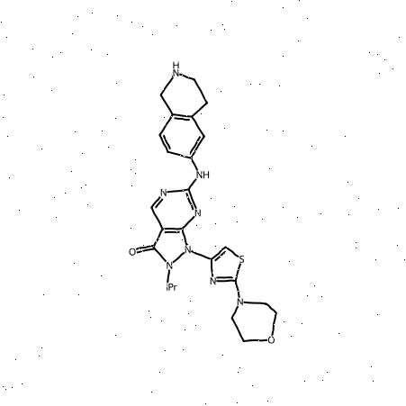 CC(C)n1c(=O)c2cnc(Nc3ccc4c(c3)CCNC4)nc2n1-c1csc(N2CCOCC2)n1